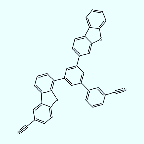 N#Cc1cccc(-c2cc(-c3ccc4c(c3)sc3ccccc34)cc(-c3cccc4c3sc3ccc(C#N)cc34)c2)c1